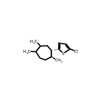 CC1CC[C@H](C)[C@@H](c2ccc(Cl)s2)CC1C